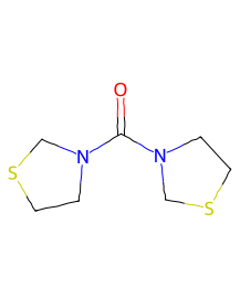 O=C(N1CCSC1)N1CCSC1